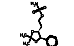 CC1(C)O[C@H](c2ccccc2)[C@@H](CCOS(N)(=O)=O)O1